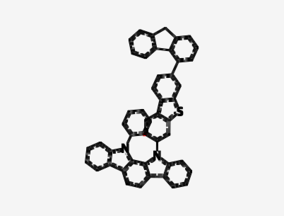 c1ccc(-n2c3ccccc3c3ccc4c5ccccc5n(-c5ccc6c(c5)sc5cc(-c7cccc8c7-c7ccccc7C8)ccc56)c4c32)cc1